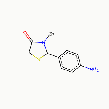 CC(C)N1C(=O)CSC1c1ccc(N)cc1